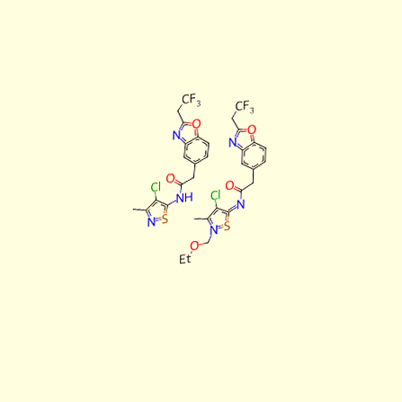 CCOCn1sc(=NC(=O)Cc2ccc3oc(CC(F)(F)F)nc3c2)c(Cl)c1C.Cc1nsc(NC(=O)Cc2ccc3oc(CC(F)(F)F)nc3c2)c1Cl